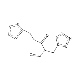 O=[C]C(Cc1csnn1)C(=O)CCc1cccs1